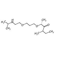 CCC(C)C(=O)[C@@H](C)OCCCOCCNC(C)C